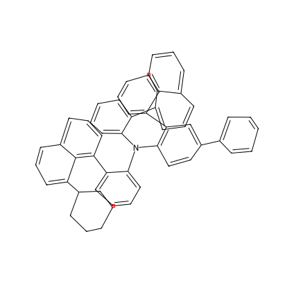 c1ccc(-c2ccc(N(c3ccccc3-c3cccc4ccccc34)c3ccccc3-c3cccc4cccc(C5CCCCC5)c34)c(-c3ccccc3)c2)cc1